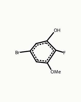 COc1cc(Br)cc(O)c1F